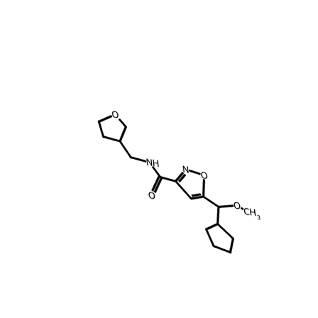 COC(c1cc(C(=O)NCC2CCOC2)no1)C1CCCC1